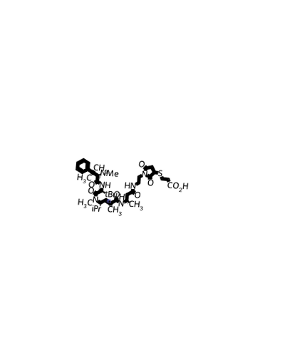 CN[C@H](C(=O)N[C@H](C(=O)N(C)[C@H](/C=C(\C)C(=O)N[C@H](C)CC(=O)NCCN1C(=O)CC(SCCC(=O)O)C1=O)C(C)C)C(C)(C)C)C(C)(C)c1ccccc1